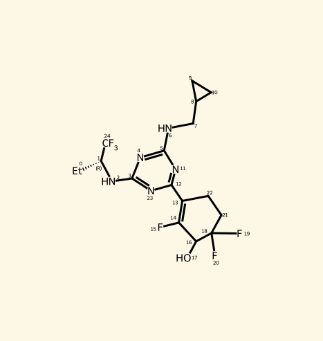 CC[C@@H](Nc1nc(NCC2CC2)nc(C2=C(F)C(O)C(F)(F)CC2)n1)C(F)(F)F